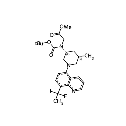 COC(=O)CN(C(=O)OC(C)(C)C)[C@@H]1C[C@H](C)CN(c2ccc(C(C)(F)I)c3ncccc23)C1